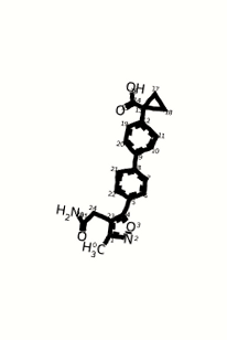 Cc1noc(-c2ccc(-c3ccc(C4(C(=O)O)CC4)cc3)cc2)c1CC(N)=O